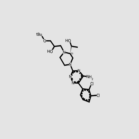 CC(O)[C@@H]1CN(c2nnc(-c3cccc(Cl)c3Cl)c(N)n2)CCN1CC(O)COC(C)(C)C